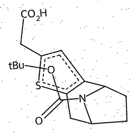 CC(C)(C)OC(=O)N1C2CCC1c1cc(CC(=O)O)sc1C2